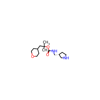 CC(C)(CC1CCOCC1)OC(=O)NC[C@@H]1CCNC1